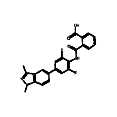 Cc1nn(C)c2ccc(-c3cc(F)c(NC(=O)c4ccccc4C(=O)O)c(F)c3)cc12